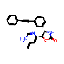 C=C/C=C(\N=C/N)[C@@H]1OC(=O)N[C@H]1c1cccc(C#Cc2ccccc2)c1